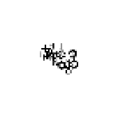 C[C@H]1[C@@H](NC(=Nc2ccc3c(=O)n4c(nc3c2)C(c2ccccn2)CCC4)N2CCN[C@@H](C)C2)C[C@H]2C[C@H]1C2(C)C